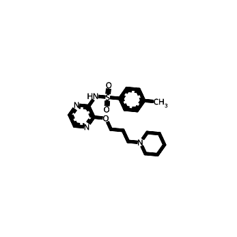 Cc1ccc(S(=O)(=O)Nc2nccnc2OCCCN2CCCCC2)cc1